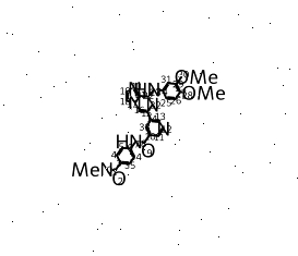 CNC(=O)c1ccc(NC(=O)c2cncc(-c3cn4ccnc4c(Nc4ccc(OC)c(OC)c4)n3)c2)cc1